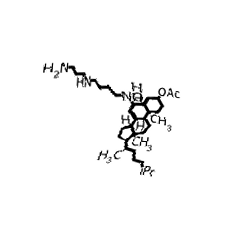 CC(=O)OC1CC[C@]2(C)[C@H]3CC[C@]4(C)[C@@H]([C@H](C)CCCC(C)C)CC[C@H]4C3=CC(NCCCCNCCCN)C2(O)C1